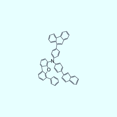 c1ccc(-c2cccc3c2oc2c(N(c4ccc(-c5ccc6ccccc6c5)cc4)c4ccc(-c5cc6ccccc6c6ccccc56)cc4)cccc23)cc1